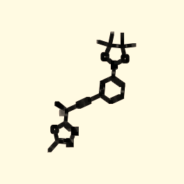 Cc1nnc([C@@H](C)C#Cc2cccc(B3OC(C)(C)C(C)(C)O3)c2)o1